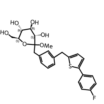 COC1(Cc2cccc(Cc3ccc(-c4ccc(F)cc4)s3)c2)O[C@@H](CO)[C@H](O)[C@@H](O)[C@@H]1O